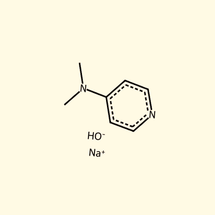 CN(C)c1ccncc1.[Na+].[OH-]